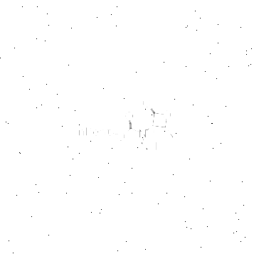 CCCCCOC(=O)N(N)[C@H]1C(=O)O[C@H]1C